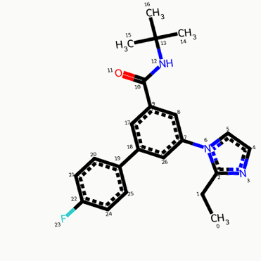 CCc1nccn1-c1cc(C(=O)NC(C)(C)C)cc(-c2ccc(F)cc2)c1